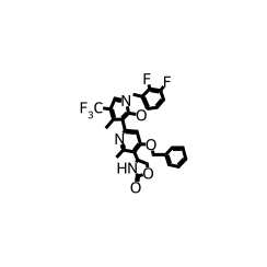 Cc1nc(-c2c(Oc3ccc(F)c(F)c3C)ncc(C(F)(F)F)c2C)cc(OCc2ccccc2)c1C1COC(=O)N1